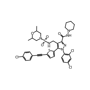 CC1CN(S(=O)(=O)NCc2c(C(=O)NN3CCCCC3)nn(-c3ccc(Cl)cc3Cl)c2-c2ccc(C#Cc3ccc(Cl)cc3)s2)CC(C)O1